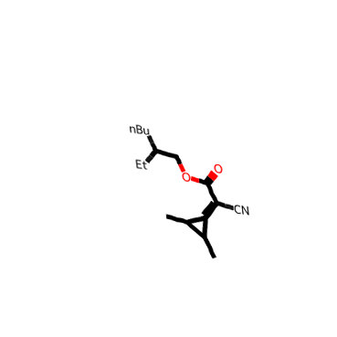 CCCCC(CC)COC(=O)C(C#N)=C1C(C)C1C